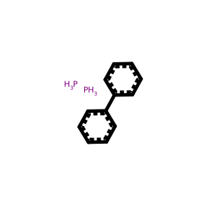 P.P.c1ccc(-c2ccccc2)cc1